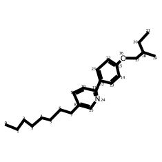 CCCCCCCCc1ccc(-c2ccc(OCC(C)CC)cc2)nc1